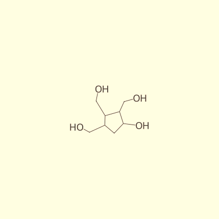 OCC1CC(O)C(CO)C1CO